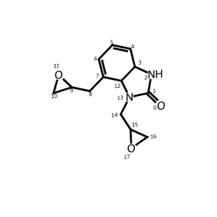 O=C1NC2C=CC=C(CC3CO3)C2N1CC1CO1